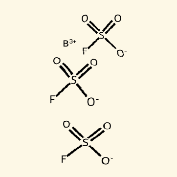 O=S(=O)([O-])F.O=S(=O)([O-])F.O=S(=O)([O-])F.[B+3]